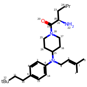 CC(C)=CCN(c1ccc(CCC(C)(C)C)cc1)C1CCN(C(=O)[C@H](N)CC(C)C)CC1